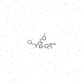 Cc1cc(-c2cnc3c(NCCN4CCCCC4)cc(Oc4cccc(F)c4)nn23)ccc1C(=O)NC1CC1